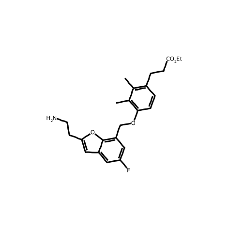 CCOC(=O)CCc1ccc(OCc2cc(F)cc3cc(CCN)oc23)c(C)c1C